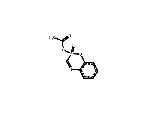 CC(=O)OP1(=O)C=Nc2ccccc2O1